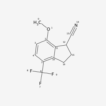 COc1ccc(C(F)(F)F)c2c1C(C#N)CC2